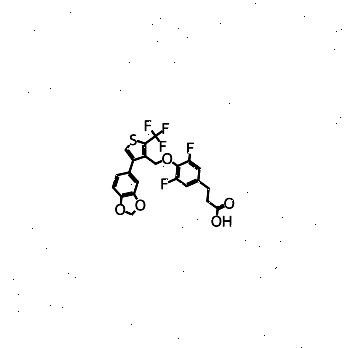 O=C(O)CCc1cc(F)c(OCc2c(-c3ccc4c(c3)OCO4)csc2C(F)(F)F)c(F)c1